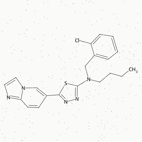 CCCCN(Cc1ccccc1Cl)c1nnc(-c2ccc3nccn3c2)s1